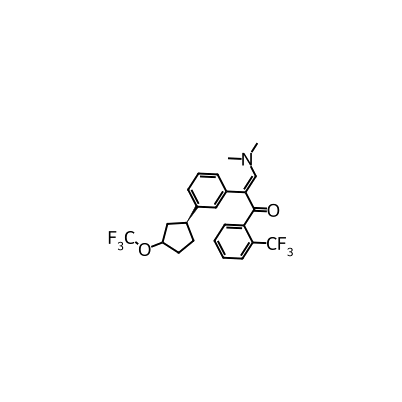 CN(C)/C=C(/C(=O)c1ccccc1C(F)(F)F)c1cccc([C@H]2CCC(OC(F)(F)F)C2)c1